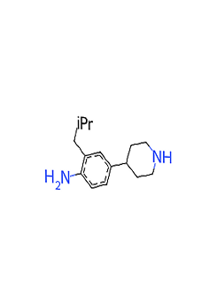 CC(C)Cc1cc(C2CCNCC2)ccc1N